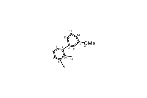 COc1[c]c(-c2cccc(C)c2C)ccc1